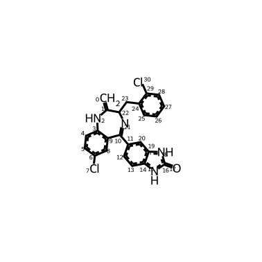 C=C1Nc2ccc(Cl)cc2C(c2ccc3[nH]c(=O)[nH]c3c2)=NC1Cc1ccccc1Cl